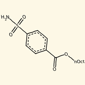 CCCCCCCCOC(=O)c1ccc(S(N)(=O)=O)cc1